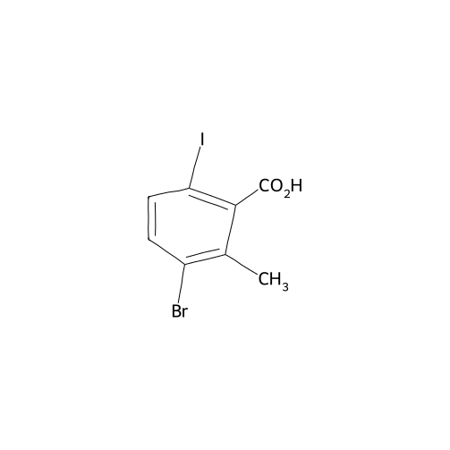 Cc1c(Br)ccc(I)c1C(=O)O